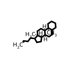 C=CCCC1CC[C@H]2[C@@H]3CC=C4CCCC[C@]4(C)[C@@H]3CC[C@]12C